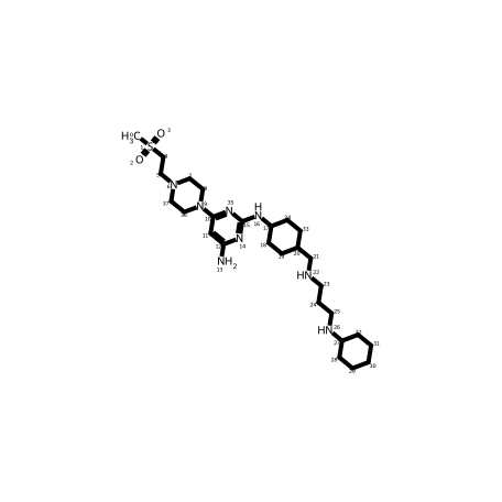 CS(=O)(=O)CCN1CCN(c2cc(N)nc(NC3CCC(CNCCCNC4CCCCC4)CC3)n2)CC1